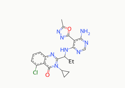 CCC(Nc1ncnc(N)c1-c1nnc(C)o1)c1nc2cccc(Cl)c2c(=O)n1C1CC1